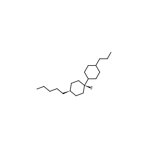 CCCCC[C@H]1CC[C@](F)(C2CCC(CCC)CC2)CC1